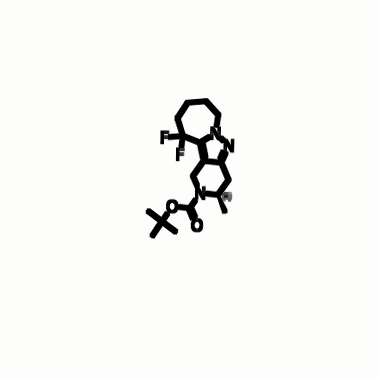 C[C@@H]1Cc2nn3c(c2CN1C(=O)OC(C)(C)C)C(F)(F)CCCC3